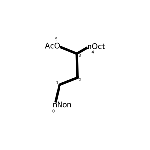 CCCCCCCCCCCC(CCCCCCCC)OC(C)=O